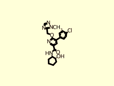 Cn1ncnc1COc1ncc(C(=O)N[C@@H]2CCCC[C@H]2O)cc1-c1ccc(Cl)cc1